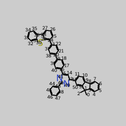 CC1(C)c2ccccc2-c2ccc(-c3cc(-c4ccc(-c5ccc(-c6cccc7c6sc6ccccc67)cc5)cc4)nc(-c4ccccc4)n3)cc21